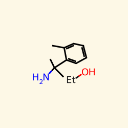 CCO.Cc1ccccc1C(C)(C)N